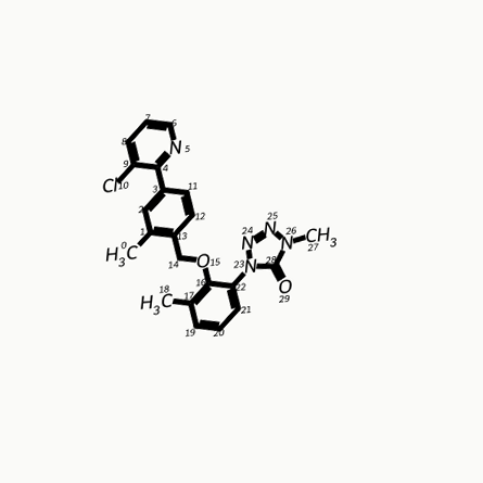 Cc1cc(-c2ncccc2Cl)ccc1COc1c(C)cccc1-n1nnn(C)c1=O